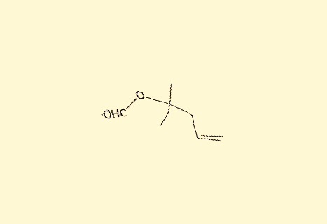 C=CCC(C)(C)O[C]=O